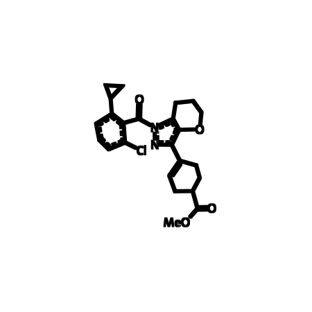 COC(=O)C1CC=C(c2nn(C(=O)c3c(Cl)cccc3C3CC3)c3c2OCCC3)CC1